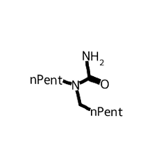 CCCCCCN(CCCCC)C(N)=O